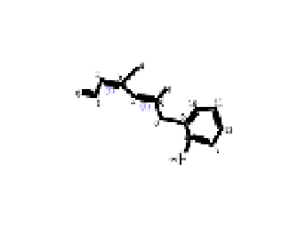 C=C/C=C(C)\C=C(/C)Cc1ccccc1F